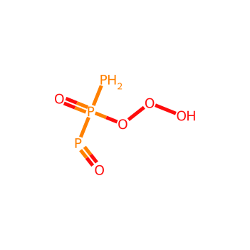 O=PP(=O)(P)OOO